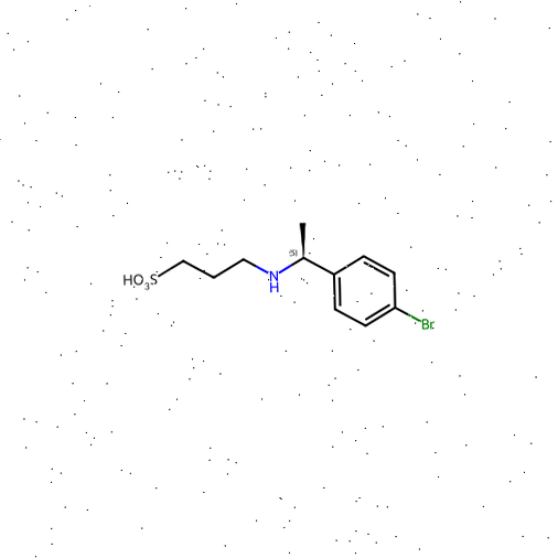 C[C@H](NCCCS(=O)(=O)O)c1ccc(Br)cc1